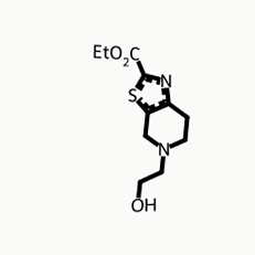 CCOC(=O)c1nc2c(s1)CN(CCO)CC2